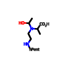 CCCCCNCCN(C(C)O)C(C)C(=O)O